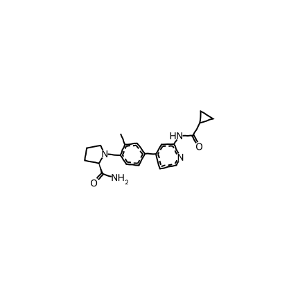 Cc1cc(-c2ccnc(NC(=O)C3CC3)c2)ccc1N1CCC[C@@H]1C(N)=O